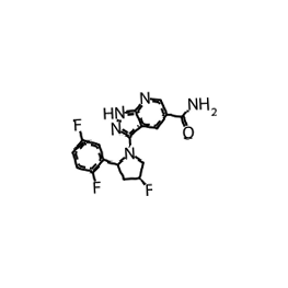 NC(=O)c1cnc2[nH]nc(N3C[C@@H](F)CC3c3cc(F)ccc3F)c2c1